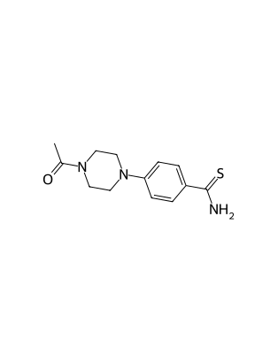 CC(=O)N1CCN(c2ccc(C(N)=S)cc2)CC1